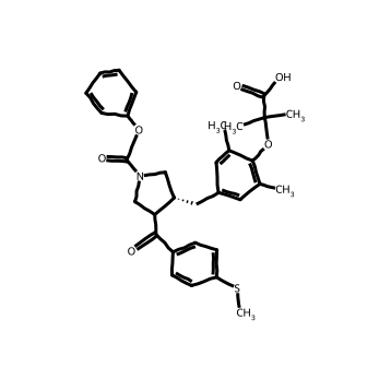 CSc1ccc(C(=O)C2CN(C(=O)Oc3ccccc3)C[C@@H]2Cc2cc(C)c(OC(C)(C)C(=O)O)c(C)c2)cc1